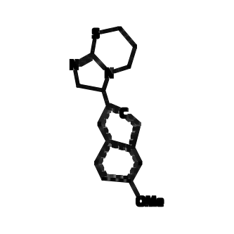 COc1ccc2cc(C3CN=C4SCCCN43)ccc2c1